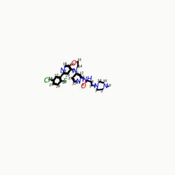 CN1CCN(CCC(=O)Nc2cc(N3CCOc4cnc(-c5cc(Cl)ccc5F)cc43)ccn2)CC1